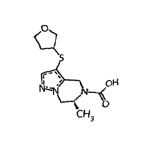 C[C@H]1Cn2ncc(SC3CCOC3)c2CN1C(=O)O